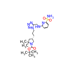 CC(C)(C)OC(=O)N1C[C@@H](CCCn2nnnc2CNc2cccc(S(N)(=O)=O)n2)CC1(C)C